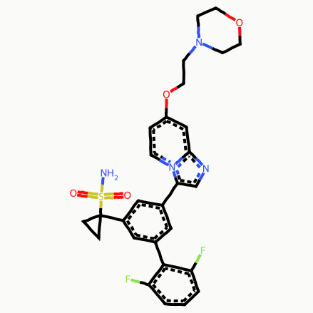 NS(=O)(=O)C1(c2cc(-c3c(F)cccc3F)cc(-c3cnc4cc(OCCN5CCOCC5)ccn34)c2)CC1